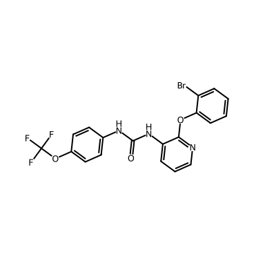 O=C(Nc1ccc(OC(F)(F)F)cc1)Nc1cccnc1Oc1ccccc1Br